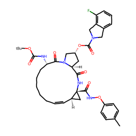 Cc1ccc(ONC(=O)[C@@]23C[C@H]2/C=C\CCCCC[C@H](NC(=O)OC(C)(C)C)C(=O)N2C[C@H](OC(=O)N4Cc5cccc(F)c5C4)C[C@H]2C(=O)N3)cc1